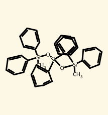 C[Si](O[Si](O[Si](C)(c1ccccc1)c1ccccc1)(c1ccccc1)c1ccccc1)(c1ccccc1)c1ccccc1